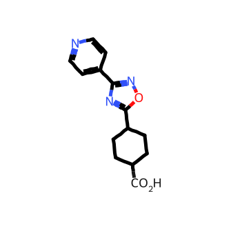 O=C(O)C1CCC(c2nc(-c3ccncc3)no2)CC1